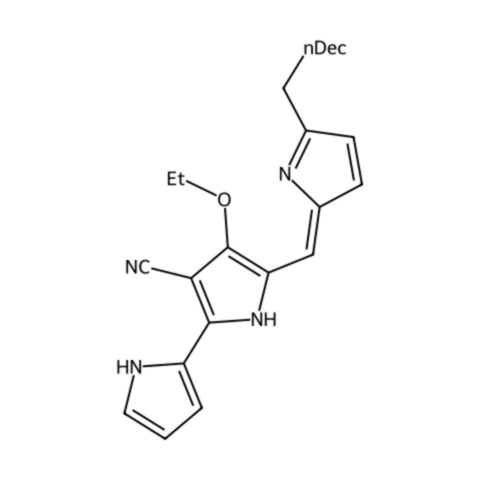 CCCCCCCCCCCC1=NC(=Cc2[nH]c(-c3ccc[nH]3)c(C#N)c2OCC)C=C1